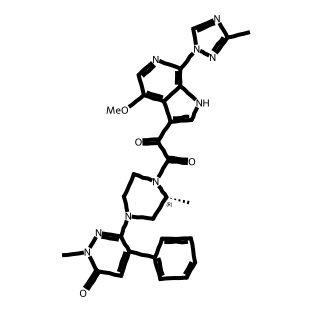 COc1cnc(-n2cnc(C)n2)c2[nH]cc(C(=O)C(=O)N3CCN(c4nn(C)c(=O)cc4-c4ccccc4)C[C@H]3C)c12